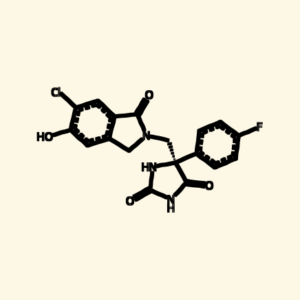 O=C1NC(=O)[C@](CN2Cc3cc(O)c(Cl)cc3C2=O)(c2ccc(F)cc2)N1